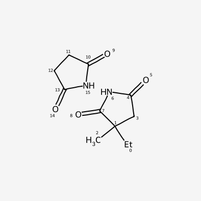 CCC1(C)CC(=O)NC1=O.O=C1CCC(=O)N1